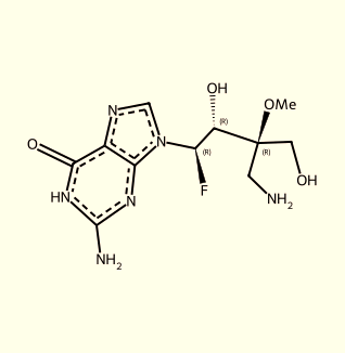 CO[C@](CN)(CO)[C@@H](O)[C@@H](F)n1cnc2c(=O)[nH]c(N)nc21